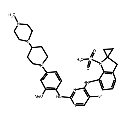 COc1cc(N2CCC(N3CCN(C)CC3)CC2)ccc1Nc1ncc(Br)c(Nc2cccc3c2N(S(C)(=O)=O)C2(CC2)C3)n1